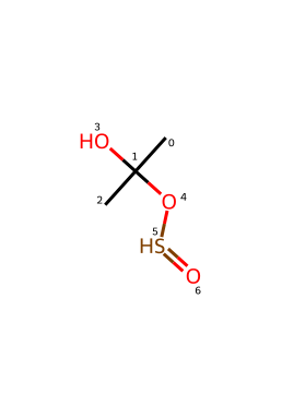 CC(C)(O)O[SH]=O